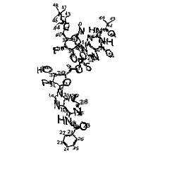 C/N=C/CCOP(=S)(OC[C@H]1O[C@@H](n2cnc3c(NC(=O)c4ccccc4)ncnc32)[C@@H](F)[C@@H]1O)O[C@H]1[C@H](F)[C@@H](CO[Si](C)(C)C(C)(C)C)O[C@H]1n1cnc2c(=O)[nH]c(NC(=O)C(C)C)nc21